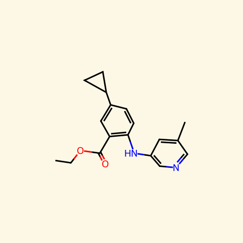 CCOC(=O)c1cc(C2CC2)ccc1Nc1cncc(C)c1